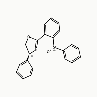 [O-][S@@+](c1ccccc1)c1ccccc1C1=N[C@@H](c2ccccc2)CO1